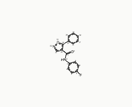 O=C(Nc1ccc(F)cc1)c1cnoc1-c1ccccc1